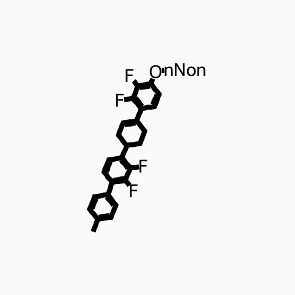 CCCCCCCCCOc1ccc(C2=CCC(c3ccc(-c4ccc(C)cc4)c(F)c3F)CC2)c(F)c1F